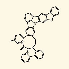 C=C1C2C(CCc3cc4c(cc3-c3ccc(C)c[n+]31)c1cccc3c5cc6c(cc5n4c13)oc1ccccc16)c1ccccc1-c1cccc[n+]12